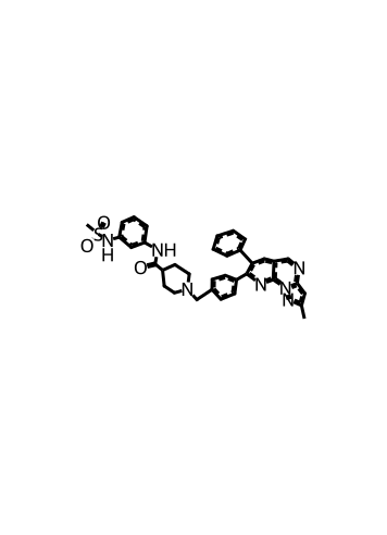 Cc1cc2ncc3cc(-c4ccccc4)c(-c4ccc(CN5CCC(C(=O)Nc6cccc(NS(C)(=O)=O)c6)CC5)cc4)nc3n2n1